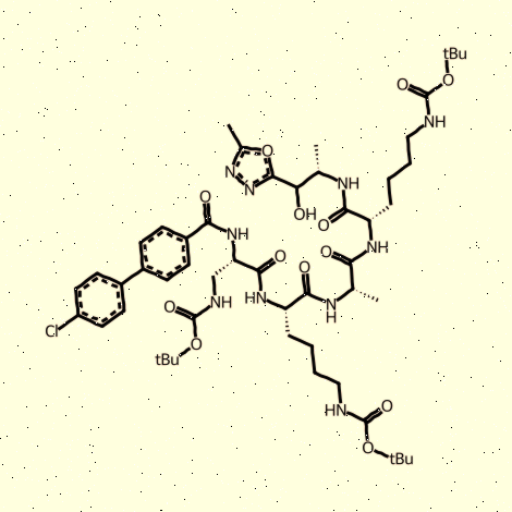 Cc1nnc(C(O)[C@H](C)NC(=O)[C@H](CCCCNC(=O)OC(C)(C)C)NC(=O)[C@H](C)NC(=O)[C@H](CCCCNC(=O)OC(C)(C)C)NC(=O)[C@H](CNC(=O)OC(C)(C)C)NC(=O)c2ccc(-c3ccc(Cl)cc3)cc2)o1